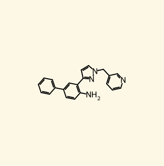 Nc1ccc(-c2ccccc2)cc1-c1ccn(Cc2cccnc2)n1